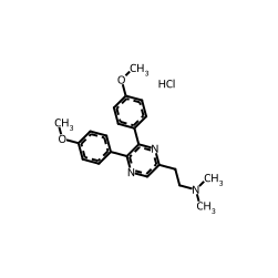 COc1ccc(-c2ncc(CCN(C)C)nc2-c2ccc(OC)cc2)cc1.Cl